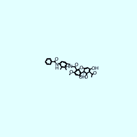 COc1cc(O)c2c(c1C(=O)NCc1ccc(NC(=O)c3ccccc3)c(C)c1C)OC1=CC(O)=C(C(C)=O)C(=O)[C@]12C